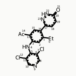 CCc1cc(Nc2c(Cl)cncc2Cl)c(C(C)=O)cc1-c1ccc(=O)[nH]n1